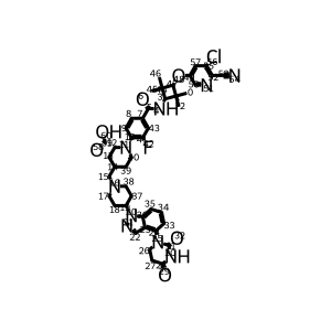 CC1(C)C(NC(=O)c2ccc(N3CCC(CN4CCC(n5ncc6c(N7CCC(=O)NC7=O)cccc65)CC4)CC3)c(F)c2)C(C)(C)C1Oc1cnc(C#N)c(Cl)c1.O=CO